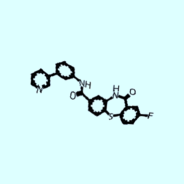 O=C(Nc1cccc(-c2cccnc2)c1)c1ccc2c(c1)NC(=O)c1cc(F)ccc1S2